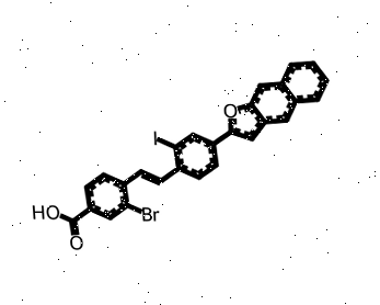 O=C(O)c1ccc(C=Cc2ccc(-c3cc4cc5ccccc5cc4o3)cc2I)c(Br)c1